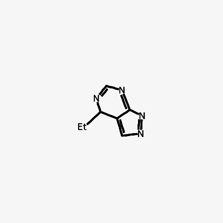 CCC1N=CN=C2N=NC=C21